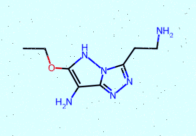 CCOc1[nH]n2c(CCN)nnc2c1N